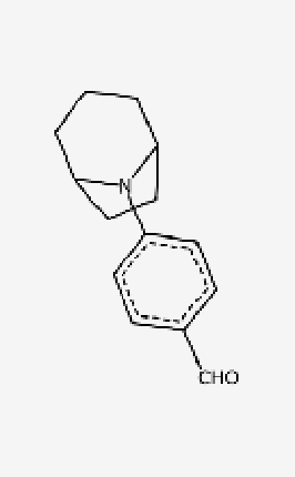 O=Cc1ccc(N2C3CCCC2CC3)cc1